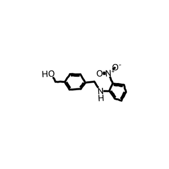 O=[N+]([O-])c1ccccc1NCc1ccc(CO)cc1